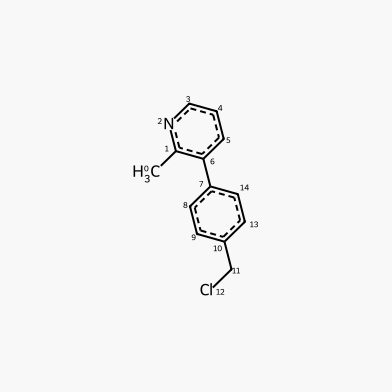 Cc1ncccc1-c1ccc(CCl)cc1